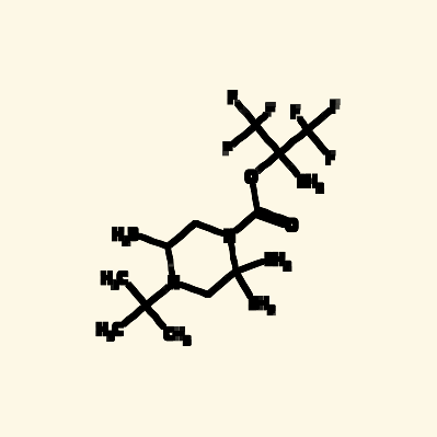 BC1CN(C(=O)OC(B)(C(F)(F)F)C(F)(F)F)C(B)(B)CN1C(C)(C)C